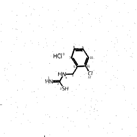 Cl.N=C(S)NCc1ccccc1Cl